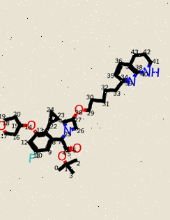 CC(C)(C)OC(=O)C(c1cc(F)cc(OC2CCOCC2)c1C1CC1)N1CC(OCCCCCc2ccc3c(n2)NCCC3)C1